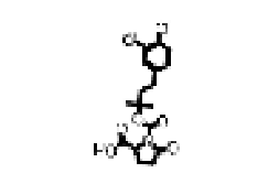 CC(C)(CCc1ccc(Cl)c(Cl)c1)OC(=O)N1C(=O)CCC1C(=O)O